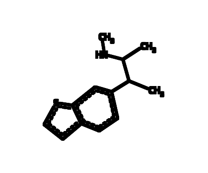 CNC(C)C(C)c1ccc2ccsc2c1